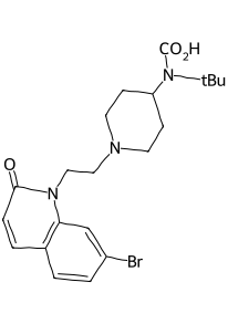 CC(C)(C)N(C(=O)O)C1CCN(CCn2c(=O)ccc3ccc(Br)cc32)CC1